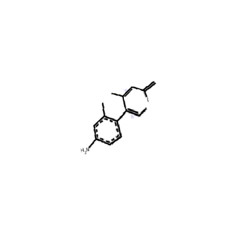 C=C(I)/C=C(C)\C(=C/C)c1ccc(N)cc1C